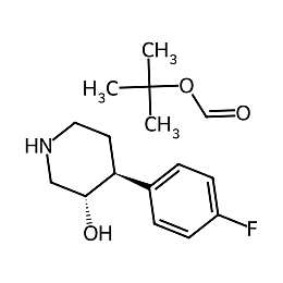 CC(C)(C)OC=O.O[C@@H]1CNCC[C@H]1c1ccc(F)cc1